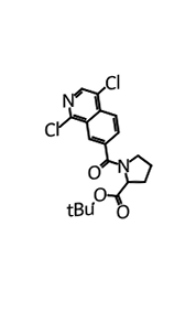 CC(C)(C)OC(=O)C1CCCN1C(=O)c1ccc2c(Cl)cnc(Cl)c2c1